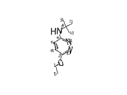 CCOc1ccc(NC(C)(C)C)nn1